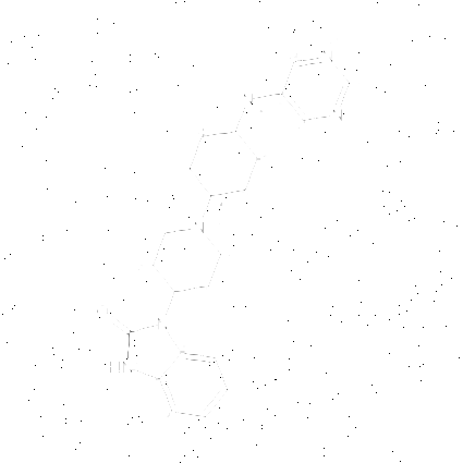 O=c1[nH]c2ccccc2n1C1CCN(C2CCC(Nc3cncnc3)CC2)CC1